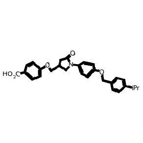 CC(C)c1ccc(COc2ccc(N3CC(COc4ccc(C(=O)O)cc4)CC3=O)cc2)cc1